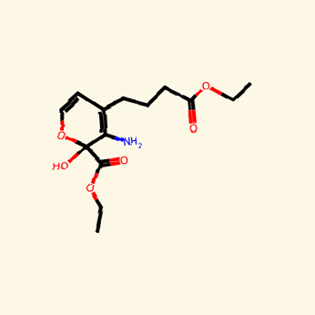 CCOC(=O)CCCC1=C(N)C(O)(C(=O)OCC)OC=C1